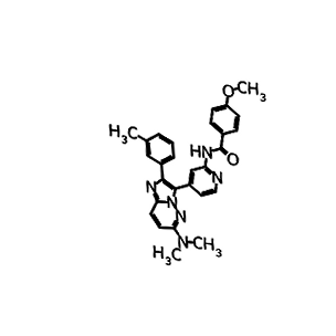 COc1ccc(C(=O)Nc2cc(-c3c(-c4cccc(C)c4)nc4ccc(N(C)C)nn34)ccn2)cc1